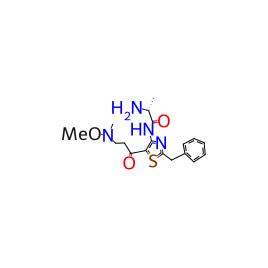 CON(C)CCC(=O)c1sc(Cc2ccccc2)nc1NC(=O)[C@@H](C)N